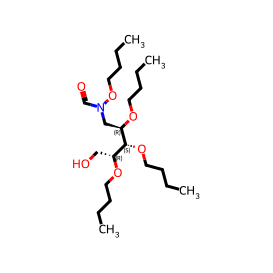 CCCCO[C@H]([C@@H](CO)OCCCC)[C@@H](CN(C=O)OCCCC)OCCCC